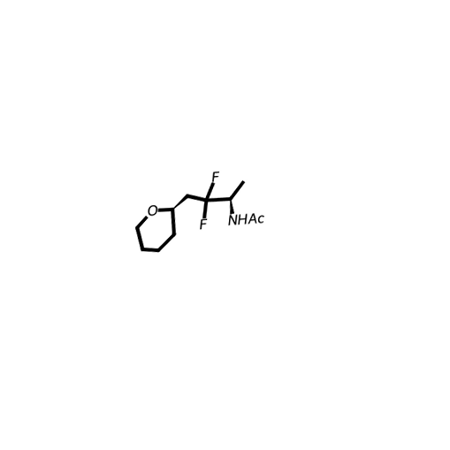 CC(=O)N[C@H](C)C(F)(F)C[C@H]1CCCCO1